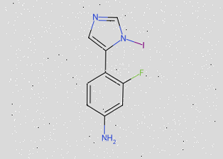 Nc1ccc(-c2cncn2I)c(F)c1